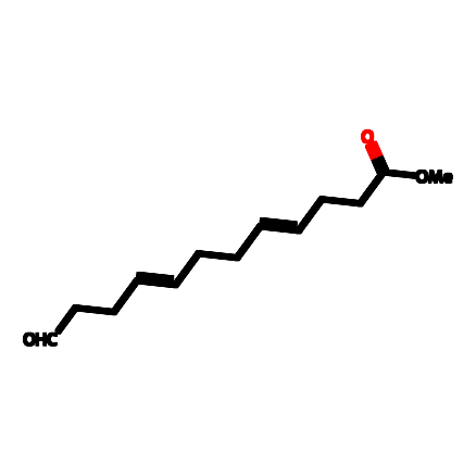 COC(=O)CC/C=C/CC/C=C/CCC=O